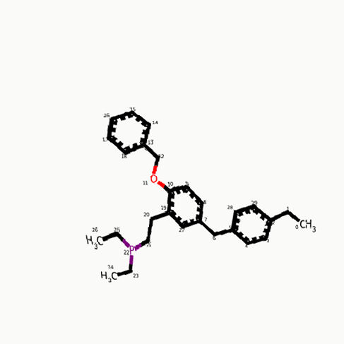 CCc1ccc(Cc2ccc(OCc3ccccc3)c(CCP(CC)CC)c2)cc1